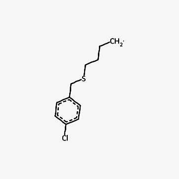 [CH2]CCCSCc1ccc(Cl)cc1